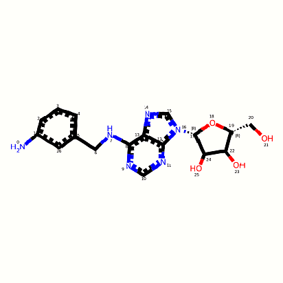 Nc1cccc(CNc2ncnc3c2ncn3[C@@H]2O[C@H](CO)C(O)C2O)c1